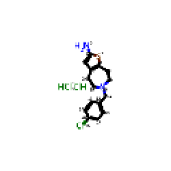 Cl.Cl.Nc1cc2c(s1)CCN(Cc1ccc(Cl)cc1)CC2